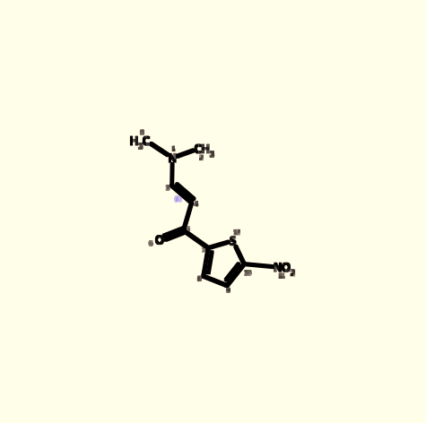 CN(C)/C=C/C(=O)c1ccc([N+](=O)[O-])s1